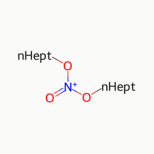 CCCCCCCO[N+](=O)OCCCCCCC